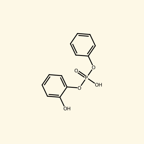 O=P(O)(Oc1ccccc1)Oc1ccccc1O